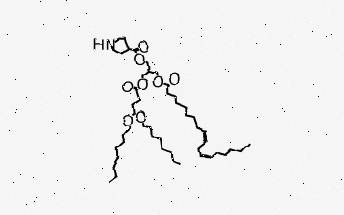 CCCCC/C=C\C/C=C\CCCCCCCC(=O)OCC(COC(=O)CCC(OCCCCCCCC)OCCCCCCCC)COC(=O)C1CCNCC1